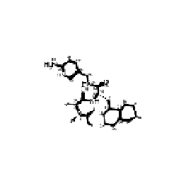 CC(C)N(C)[C@@H](C)C(=O)N[C@@H](CC1CCCC2CCCCC21)C(=O)NCc1ccc(N)nc1